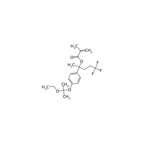 C=C(C)C(=O)OC(C)(CCC(F)(F)F)c1ccc(OC(C)(C)OCC)cc1